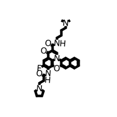 CN(C)CCCCNC(=O)c1cn2c3c(c(NC(=O)CCN4CCCC4)c(F)cc3c1=O)Oc1cc3ccccc3cc1-2